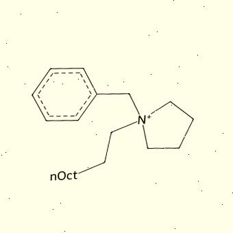 CCCCCCCCCC[N+]1(Cc2ccccc2)CCCC1